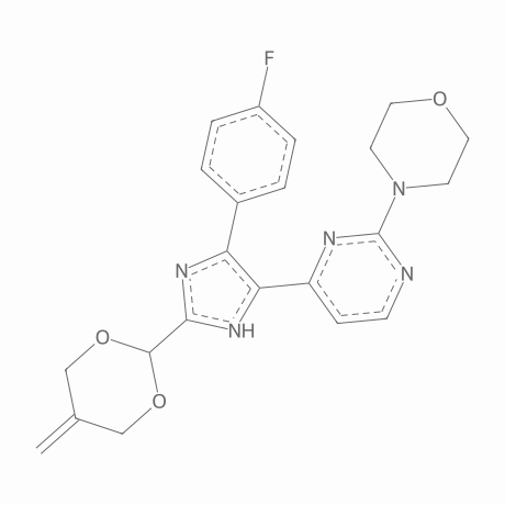 C=C1COC(c2nc(-c3ccc(F)cc3)c(-c3ccnc(N4CCOCC4)n3)[nH]2)OC1